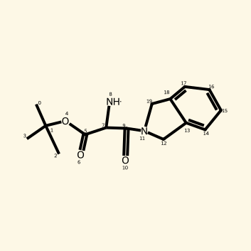 CC(C)(C)OC(=O)C([NH])C(=O)N1Cc2ccccc2C1